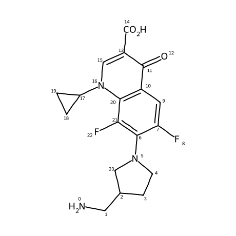 NCC1CCN(c2c(F)cc3c(=O)c(C(=O)O)cn(C4CC4)c3c2F)C1